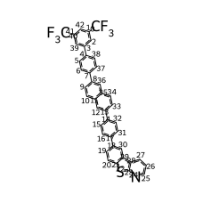 FC(F)(F)c1cc(-c2ccc(-c3ccc4cc(-c5ccc(-c6ccc7sc8ncccc8c7c6)cc5)ccc4c3)cc2)cc(C(F)(F)F)c1